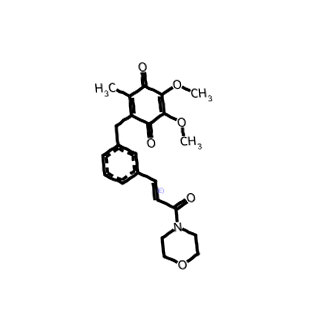 COC1=C(OC)C(=O)C(Cc2cccc(/C=C/C(=O)N3CCOCC3)c2)=C(C)C1=O